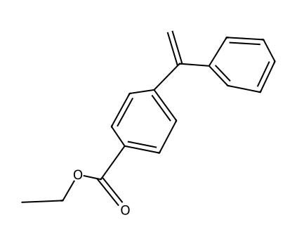 C=C(c1ccccc1)c1ccc(C(=O)OCC)cc1